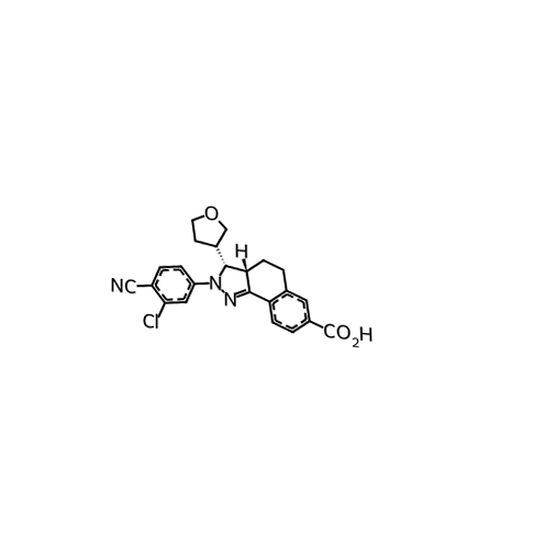 N#Cc1ccc(N2N=C3c4ccc(C(=O)O)cc4CC[C@H]3[C@H]2C2CCOC2)cc1Cl